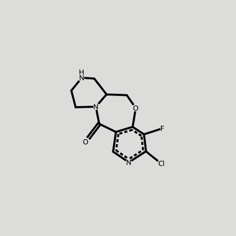 O=C1c2cnc(Cl)c(F)c2OCC2CNCCN12